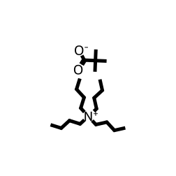 CC(C)(C)C(=O)[O-].CCCC[N+](CCCC)(CCCC)CCCC